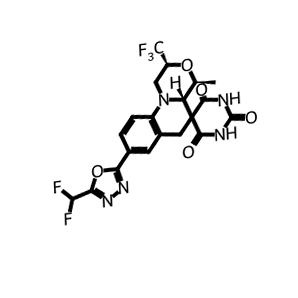 C[C@@H]1O[C@H](C(F)(F)F)CN2c3ccc(-c4nnc(C(F)F)o4)cc3CC3(C(=O)NC(=O)NC3=O)[C@@H]12